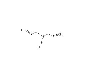 C=CCN([S])CC=C.F